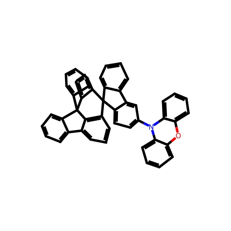 c1ccc(C23c4ccccc4-c4cccc(c42)C2(c4ccccc4-c4cc(N5c6ccccc6Oc6ccccc65)ccc42)c2ccccc23)cc1